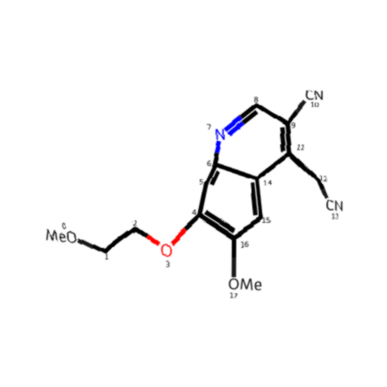 COCCOc1cc2ncc(C#N)c(CC#N)c2cc1OC